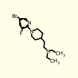 CCN(CC)CCC1CCN(c2ncc(Br)cc2F)CC1